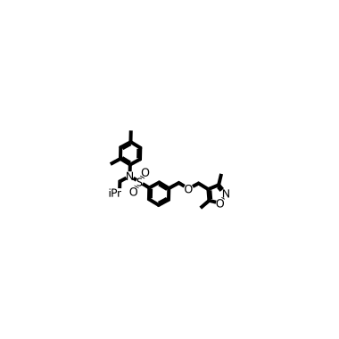 Cc1ccc(N(CC(C)C)S(=O)(=O)c2cccc(COCc3c(C)noc3C)c2)c(C)c1